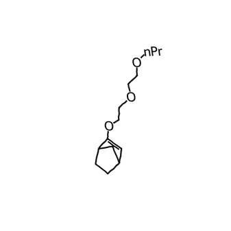 CCCOCCOCCOC1=CC2CCC1C2